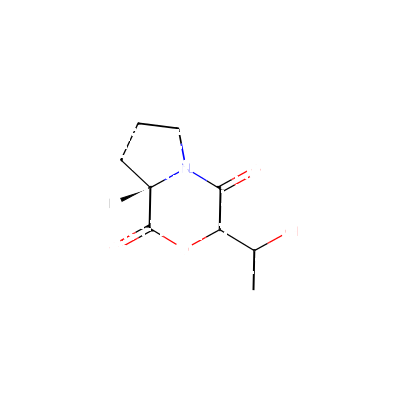 CC(O)C1OC(=O)[C@@H]2CCCN2C1=O